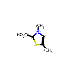 CC1=CN(C)C(C(=O)O)S1